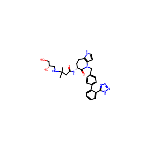 CC(C)(CC(=O)N[C@@H]1CCc2[nH]ccc2N(Cc2ccc(-c3ccccc3-c3nnn[nH]3)cc2)C1=O)NC[C@H](O)CO